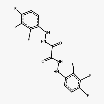 O=C(NNc1ccc(F)c(F)c1F)C(=O)NNc1ccc(F)c(F)c1F